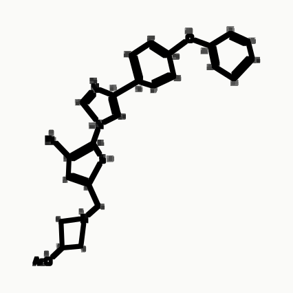 CCc1cc(CN2CC(OC(C)=O)C2)sc1-n1cnc(-c2ccc(Oc3ccccc3)cc2)c1